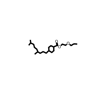 CCCOCCOC(=O)C1CCC(CCCC(C)CCCC(C)C)CC1